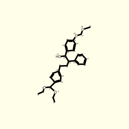 CCOC(OCC)c1ccc(CCC(c2ccccc2)C(O)c2ccc(OCOC)cc2)cc1